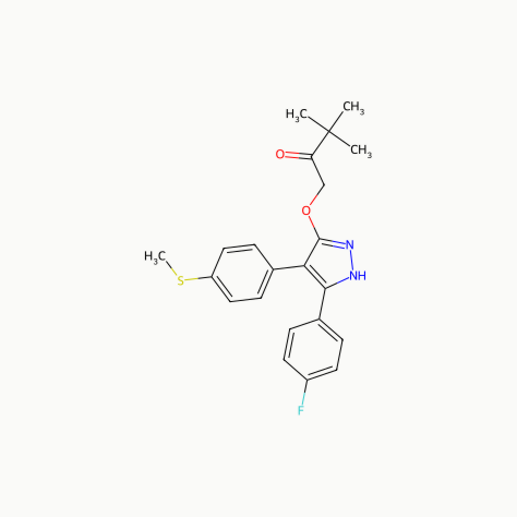 CSc1ccc(-c2c(OCC(=O)C(C)(C)C)n[nH]c2-c2ccc(F)cc2)cc1